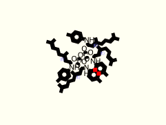 CC(C)=CCC/C(C)=C/C(Nc1ccc(C)cc1)OP(=O)(OC(/C=C(\C)CCC=C(C)C)Nc1ccc(C)cc1)OP(=O)(OC(/C=C(\C)CCC=C(C)C)Nc1ccc(C)cc1)OC(/C=C(\C)CCC=C(C)C)Nc1ccc(C)cc1